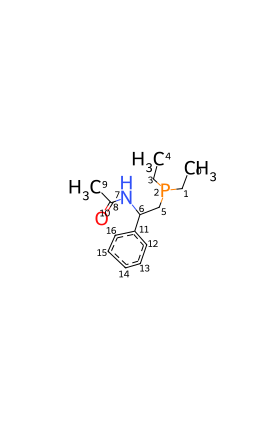 CCP(CC)CC(NC(C)=O)c1ccccc1